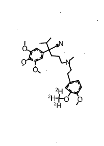 [2H]C([2H])([2H])Oc1cc(CCN(C)CCCC(C#N)(c2cc(OC)c(OC)c(OC)c2)C(C)C)ccc1OC